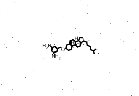 CC(C)CCC[C@@H](C)[C@H]1CC[C@H]2[C@@H]3CC=C4C[C@@H](OCc5cc(N)cc(N)c5)CC[C@]4(C)[C@H]3CC[C@]12C